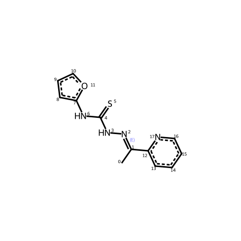 C/C(=N\NC(=S)Nc1ccco1)c1ccccn1